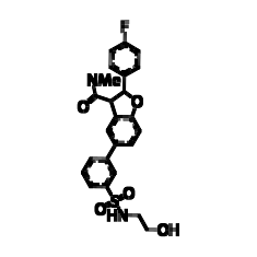 CNC(=O)C1c2cc(-c3cccc(S(=O)(=O)NCCO)c3)ccc2OC1c1ccc(F)cc1